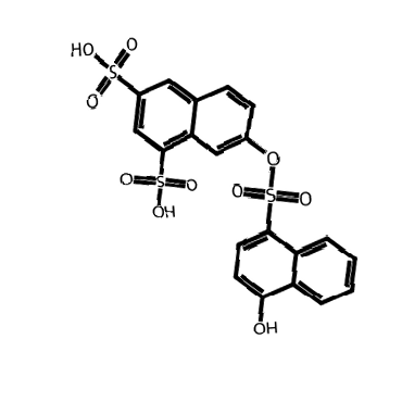 O=S(=O)(O)c1cc(S(=O)(=O)O)c2cc(OS(=O)(=O)c3ccc(O)c4ccccc34)ccc2c1